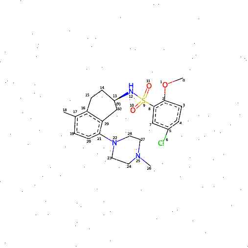 COc1ccc(Cl)cc1S(=O)(=O)N[C@@H]1CCc2c(C)ccc(N3CCN(C)CC3)c2C1